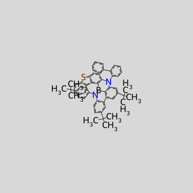 CC(C)(C)c1ccc(N2B3c4c(cc(C(C)(C)C)cc4N(c4ccccc4-c4ccccc4)c4ccc5sc6ccccc6c5c43)-c3cc(C(C)(C)C)ccc32)cc1